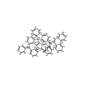 c1ccc(N(c2ccccc2)c2cccc3c2-c2oc4ccccc4c2C32c3ccccc3-c3ccc(N(c4ccccc4)c4cc5ccccc5c5ccccc45)cc32)cc1